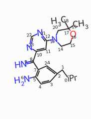 CC(C)Cc1ccc(N)c(C(=N)c2cc(N3CCOC(C)(C)C3)ncn2)c1